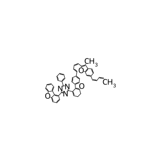 C/C=C\C=C/c1ccc2c(C)c(/C=C\C=C\c3ccc4c5c(oc4c3)CCC=C5c3nc(-c4ccccc4)nc(-c4cccc5oc6ccccc6c45)n3)oc2c1